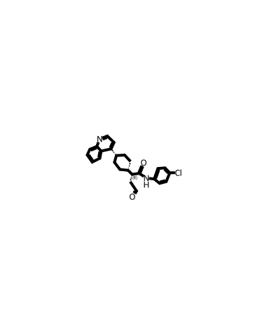 O=CC[C@@H](C(=O)Nc1ccc(Cl)cc1)[C@H]1CC[C@@H](c2ccnc3ccccc32)CC1